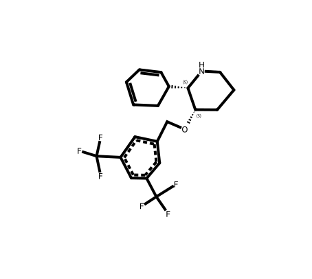 FC(F)(F)c1cc(CO[C@H]2CCCN[C@H]2C2C=CC=CC2)cc(C(F)(F)F)c1